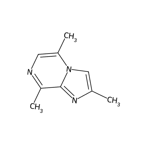 Cc1cn2c(C)cnc(C)c2n1